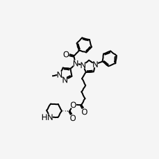 Cn1cc(N(C(=O)c2ccccc2)N2CN(c3ccccc3)C=C2CCCCC(=O)OC(=O)[C@H]2CCCNC2)cn1